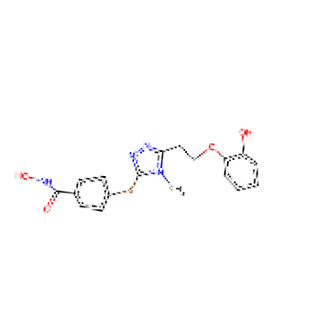 Cn1c(CCOc2ccccc2O)nnc1Sc1ccc(C(=O)NO)cc1